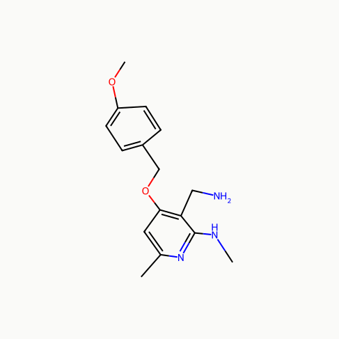 CNc1nc(C)cc(OCc2ccc(OC)cc2)c1CN